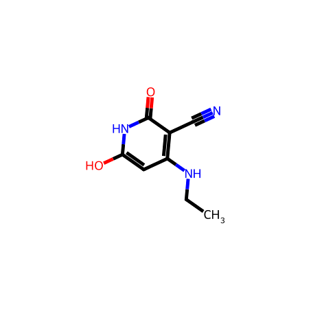 CCNc1cc(O)[nH]c(=O)c1C#N